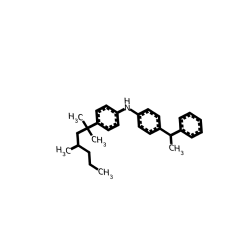 CCCC(C)CC(C)(C)c1ccc(Nc2ccc(C(C)c3ccccc3)cc2)cc1